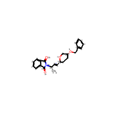 C[C@@H](/C=C/[C@@H]1CC[C@@H](OCc2ccccc2)CO1)N1C(=O)c2ccccc2C1=O